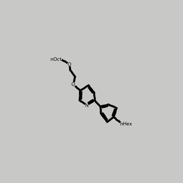 CCCCCCCCOCCOc1ccc(-c2ccc(CCCCCC)cc2)nc1